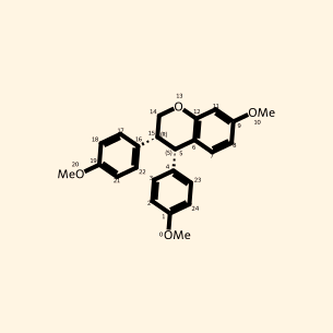 COc1ccc([C@H]2c3ccc(OC)cc3OC[C@H]2c2ccc(OC)cc2)cc1